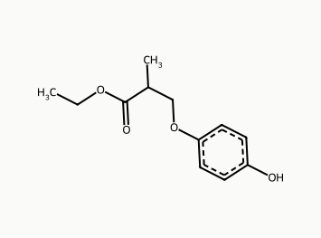 CCOC(=O)C(C)COc1ccc(O)cc1